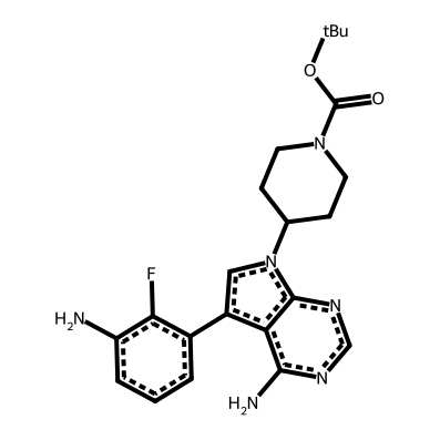 CC(C)(C)OC(=O)N1CCC(n2cc(-c3cccc(N)c3F)c3c(N)ncnc32)CC1